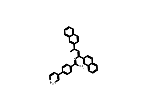 C/C=C\C(=C/N)c1ccc(/C(N)=N/C(=C\C(C)c2ccc3ccccc3c2)c2ccc3ccccc3c2)cc1